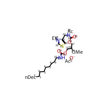 CC(=O)[O-].CCCCCCCCCCCCCCCCCCNC(=O)OCC(COC(=O)N(Cc1csc[n+]1CC)C(C)=O)OC